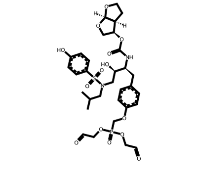 CC(C)CN(C[C@@H](O)[C@H](Cc1ccc(OCP(=O)(OCC=O)OCC=O)cc1)NC(=O)O[C@H]1CO[C@H]2OCC[C@H]21)S(=O)(=O)c1ccc(O)cc1